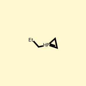 CCC[PH]1=CC1